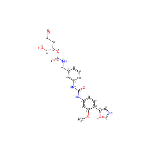 COc1cc(NC(=O)Nc2cccc(CNC(=O)O[C@H](CO)CCO)c2)ccc1-c1cnco1